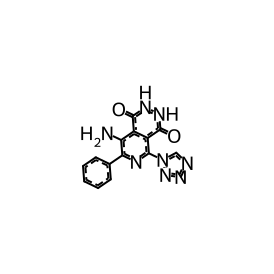 Nc1c(-c2ccccc2)nc(-n2cnnn2)c2c(=O)[nH][nH]c(=O)c12